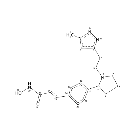 Cn1cc(CCN2CCCC2c2ccc(C=CC(=O)NO)cc2)nn1